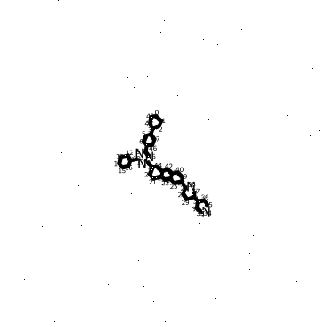 c1ccc(-c2ccc(-c3nc(-c4ccccc4)nc(-c4ccc5cc6cc(-c7ccc(-c8ccncc8)cn7)ccc6cc5c4)n3)cc2)cc1